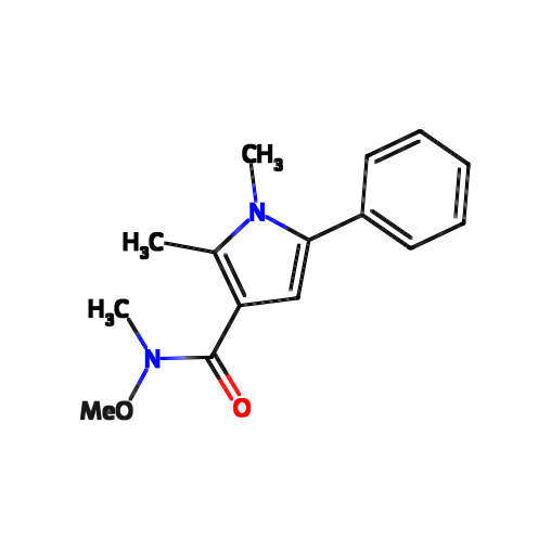 CON(C)C(=O)c1cc(-c2ccccc2)n(C)c1C